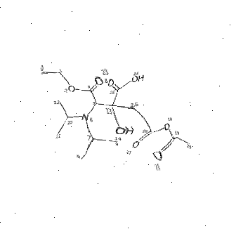 CCOC(=O)C(N(C(C)C)C(C)C)C(O)(CC(=O)OC(C)=O)C(=O)O